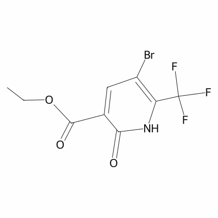 CCOC(=O)c1cc(Br)c(C(F)(F)F)[nH]c1=O